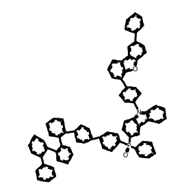 O=P(c1ccccc1)(c1ccc(-c2ccc(-c3ccccc3-c3ccccc3-c3ccccc3-c3ccccc3)cc2)cc1)c1ccc2c(c1)c1ccccc1n2-c1ccc(-c2cccc3c2oc2ccc(-c4ccccc4)cc23)cc1